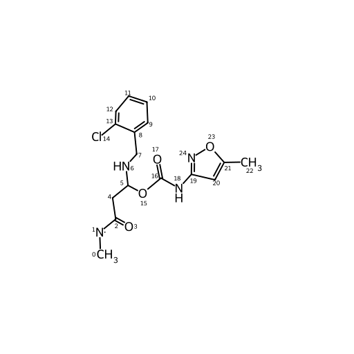 C[N]C(=O)CC(NCc1ccccc1Cl)OC(=O)Nc1cc(C)on1